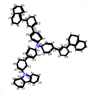 C1=CC2=C(CC1)CCCC2C1C=C(C2C=CC(N(c3ccc(C4=CCCC(C5=c6ccccc6=CCC5)C4)cc3)C3C=CC(C4CCC=C(N5C6=C(CCCC6)C6C=CCCC65)C4)=CC3)CC2)CCC1